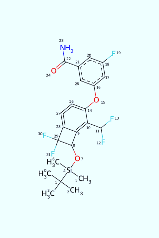 CC(C)(C)[Si](C)(C)OC1C2=C(C(F)F)C(Oc3cc(F)cc(C(N)=O)c3)=C=C=C2C1(F)F